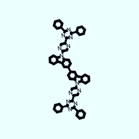 c1ccc(-c2nc(-c3ccccc3)nc(-c3cnc(-n4c5ccccc5c5cc(-c6ccc7c(c6)c6ccccc6n7-c6cnc(-c7nc(-c8ccccc8)nc(-c8ccccc8)n7)cn6)ccc54)cn3)n2)cc1